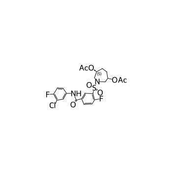 CC(=O)OC1CC[C@H](OC(C)=O)CN(S(=O)(=O)c2cc(C(=O)Nc3ccc(F)c(Cl)c3)ccc2F)C1